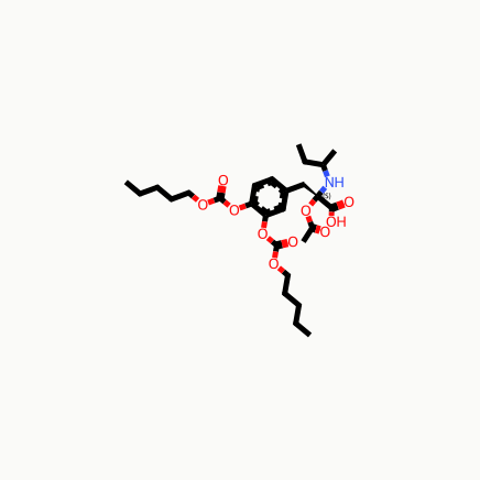 CCCCCOC(=O)Oc1ccc(C[C@](NC(C)CC)(OC(C)=O)C(=O)O)cc1OC(=O)OCCCCC